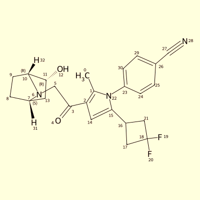 Cc1c(C(=O)CN2[C@H]3CC[C@@H]2[C@H](O)C3)cc(C2CC(F)(F)C2)n1-c1ccc(C#N)cc1